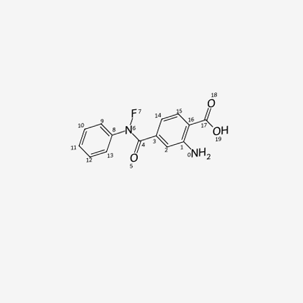 Nc1cc(C(=O)N(F)c2ccccc2)ccc1C(=O)O